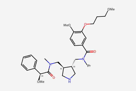 COCCCOc1cc(C(=O)N(C[C@@H]2CNC[C@H]2CN(C)C(=O)[C@@H](OC)c2ccccc2)C(C)C)ccc1OC